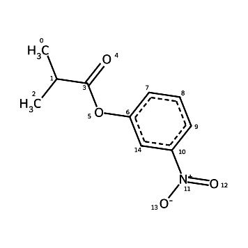 CC(C)C(=O)Oc1cccc([N+](=O)[O-])c1